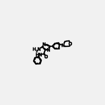 Nc1ncc(-c2ccc(N3CCOCC3)cc2)nc1C(=O)Nc1ccccc1